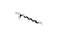 [CH2]C=CCCCCCOC(C)=O